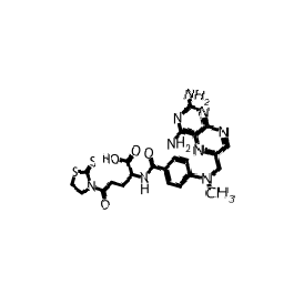 CN(Cc1cnc2nc(N)nc(N)c2n1)c1ccc(C(=O)NC(CCC(=O)N2CCSC2=S)C(=O)O)cc1